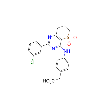 O=C(O)Cc1ccc(Nc2nc(-c3cccc(Cl)c3)nc3c2S(=O)(=O)CCC3)cc1